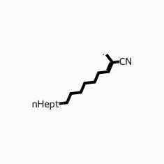 [CH2]C(C#N)=CCCCCCCCCCCCCC